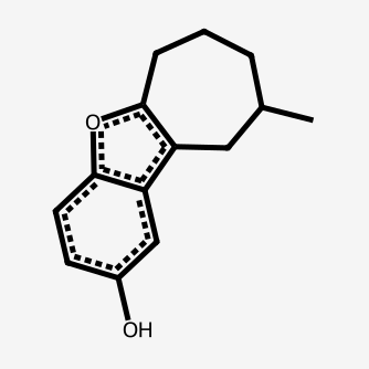 CC1CCCc2oc3ccc(O)cc3c2C1